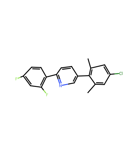 Cc1cc(Cl)cc(C)c1-c1ccc(-c2ccc(F)cc2F)nc1